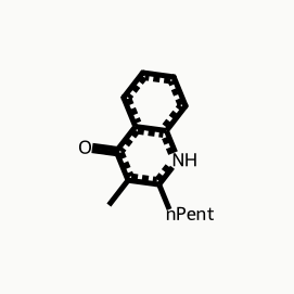 CCCCCc1[nH]c2ccccc2c(=O)c1C